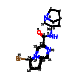 O=C(N[C@@H]1CC2CCN(C2)C1)c1cn2c(Br)ccc2cn1